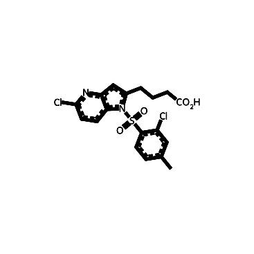 Cc1ccc(S(=O)(=O)n2c(CCCC(=O)O)cc3nc(Cl)ccc32)c(Cl)c1